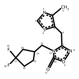 Cc1ncsc1Cc1noc(=O)n1CC1CCC(F)(F)C1